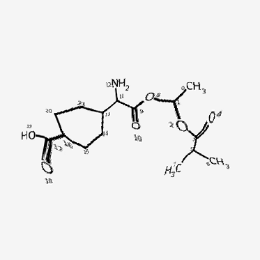 CC(OC(=O)C(C)C)OC(=O)C(N)C1CCC(C(=O)O)CC1